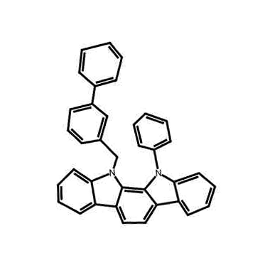 c1ccc(-c2cccc(Cn3c4ccccc4c4ccc5c6ccccc6n(-c6ccccc6)c5c43)c2)cc1